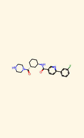 O=C(N[C@@H]1CCC[C@@H](C(=O)N2CCNCC2)C1)c1ccc(-c2cccc(F)c2)nc1